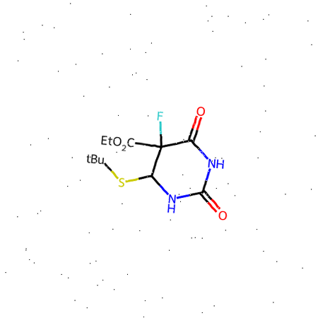 CCOC(=O)C1(F)C(=O)NC(=O)NC1SC(C)(C)C